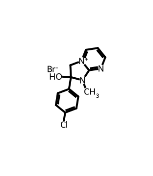 CN1c2nccc[n+]2CC1(O)c1ccc(Cl)cc1.[Br-]